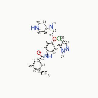 CN(CCOc1ccc(NC(=O)c2cccc(C(F)(F)F)c2)cc1-c1c(Cl)cnn1C)C1CCNCC1